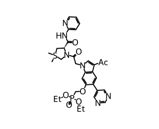 CCOP(=O)(COc1cc2c(cc1-c1cncnc1)c(C(C)=O)cn2CC(=O)N1CS(C)(C)C[C@H]1C(=O)Nc1ccccn1)OCC